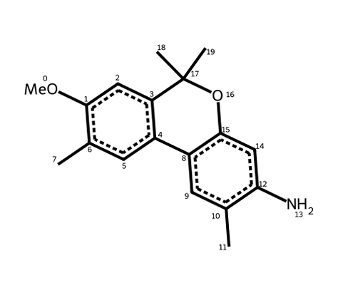 COc1cc2c(cc1C)-c1cc(C)c(N)cc1OC2(C)C